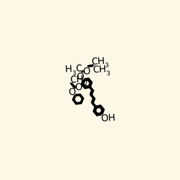 C=CC(=O)OC1CCCCC1.CC(C)COC(C)Oc1ccc(C=CC=Cc2ccc(O)cc2)cc1